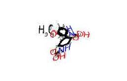 COc1cccc([C@]2(NC(=O)O)CC[C@@H](NC(=O)O)CC2)c1